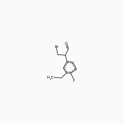 CCc1cc(C(C=O)CBr)ccc1F